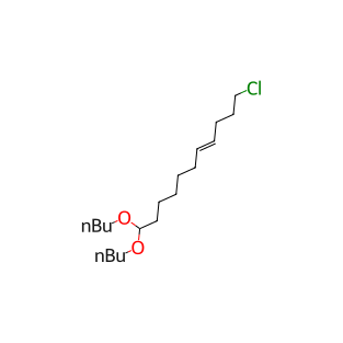 CCCCOC(CCCCC/C=C/CCCCl)OCCCC